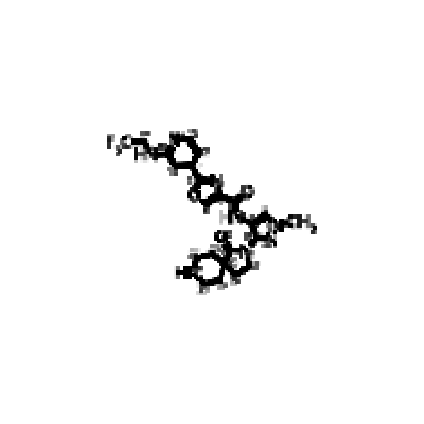 Cn1cc(NC(=O)c2coc(-c3ccnc(NCC(F)(F)F)c3)n2)c(N2CCC3(CCNCC3)C2=O)n1